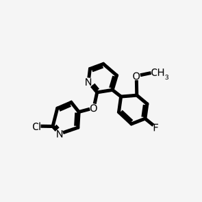 COC1C=C(F)C=CC1c1cccnc1Oc1ccc(Cl)nc1